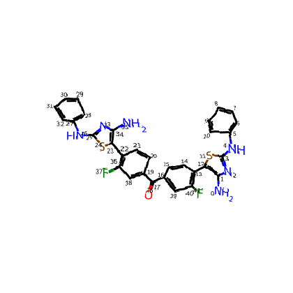 Nc1nc(Nc2ccccc2)sc1-c1ccc(C(=O)c2ccc(-c3sc(Nc4ccccc4)nc3N)c(F)c2)cc1F